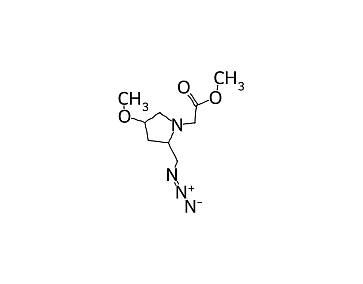 COC(=O)CN1CC(OC)CC1CN=[N+]=[N-]